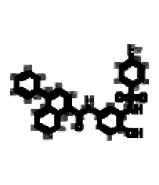 O=C(Nc1ccc(O)c(NS(=O)(=O)c2ccc(F)cc2)c1)c1ccc(-c2ccccc2)c2ccccc12